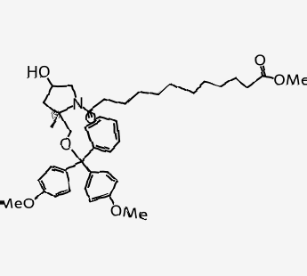 COC(=O)CCCCCCCCCCC(=O)N1CC(O)C[C@@]1(C)COC(c1ccccc1)(c1ccc(OC)cc1)c1ccc(OC)cc1